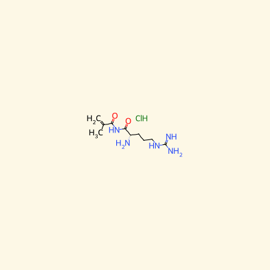 C=C(C)C(=O)NC(=O)[C@@H](N)CCCNC(=N)N.Cl